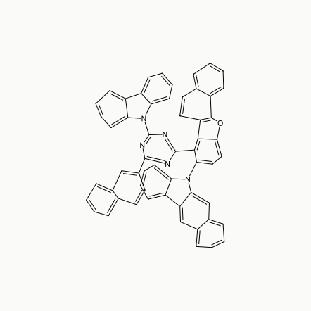 c1ccc2cc(-c3nc(-c4c(-n5c6ccccc6c6cc7ccccc7cc65)ccc5oc6c7ccccc7ccc6c45)nc(-n4c5ccccc5c5ccccc54)n3)ccc2c1